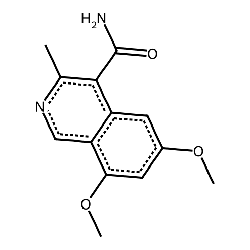 COc1cc(OC)c2cnc(C)c(C(N)=O)c2c1